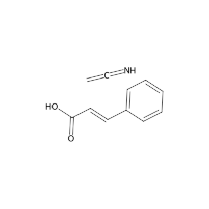 C=C=N.O=C(O)C=Cc1ccccc1